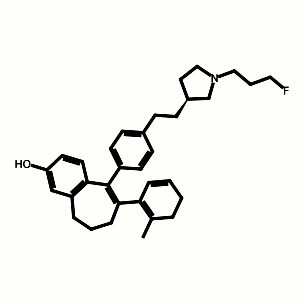 CC1=C(C2=C(c3ccc(CC[C@H]4CCN(CCCF)C4)cc3)c3ccc(O)cc3CCC2)C=CCC1